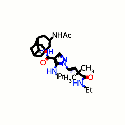 CCNC(=O)C(C)(C)/C=C/n1ncc(C(=O)N[C@@H]2C3CC4CC(NC(C)=O)CC2C(C4)C3)c1NC(C)C